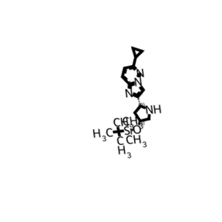 CC(C)(C)[Si](C)(C)O[C@@H]1CN[C@@H](c2cn3nc(C4CC4)ccc3n2)C1